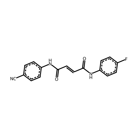 N#Cc1ccc(NC(=O)/C=C/C(=O)Nc2ccc(F)cc2)cc1